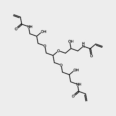 C=CC(=O)NCC(O)COCC(COCC(O)CNC(=O)C=C)OCC(O)CNC(=O)C=C